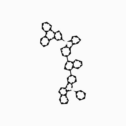 c1ccc(-n2c3ccc(-c4ccc(-c5ccc6c(c5)c5ccccc5n6-c5ccc6c7ccccc7c7ccccc7c6c5)c5ccccc45)cc3c3ccc4ccccc4c32)cc1